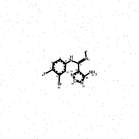 C/N=C(\Nc1ccc(F)c(Br)c1)c1nonc1N